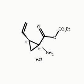 C=C[C@@H]1C[C@]1(N)C(=O)OC(=O)OCC.Cl